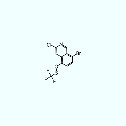 FC(F)(F)SOc1ccc(Br)c2cnc(Cl)cc12